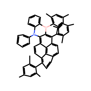 Cc1cc(C)c(B2c3ccccc3N(c3ccccc3)c3c2c(-c2c(C)cc(C)cc2C)c2ccc4ccc(-c5c(C)cc(C)cc5C)c5ccc3c2c45)c(C)c1